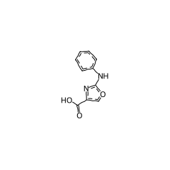 O=C(O)c1coc(Nc2ccccc2)n1